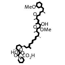 CO[C@H]1CCCC(C[C@@H](C)CCC(=O)[C@H](C)/C=C(\C)[C@@H](O)[C@@H](OC)C(=O)[C@H](C)C[C@H](C)/C=C/C=C/C=C(\C)CC[C@@H]2CC[C@@H](C)[C@](O)(C(=O)C(=O)N3CCCCC3C(=O)O)O2)C1